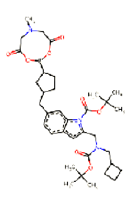 CN1CC(=O)OB(C2CCC(Cc3ccc4cc(CN(CC5CCC5)C(=O)OC(C)(C)C)n(C(=O)OC(C)(C)C)c4c3)C2)OC(=O)C1